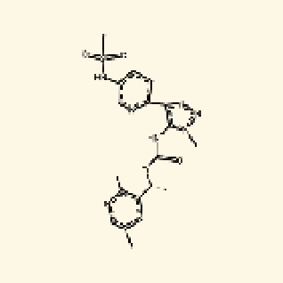 Cc1cnc(C)c([C@@H](C)OC(=O)Nc2c(-c3ccc(NS(C)(=O)=O)cn3)nnn2C)c1